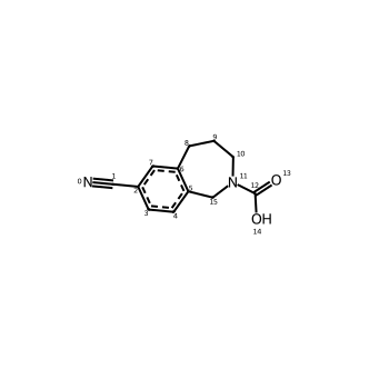 N#Cc1ccc2c(c1)CCCN(C(=O)O)C2